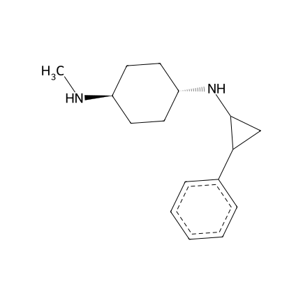 CN[C@H]1CC[C@H](NC2CC2c2ccccc2)CC1